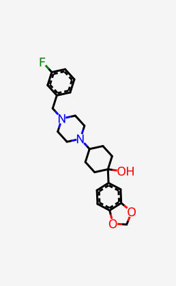 OC1(c2ccc3c(c2)OCO3)CCC(N2CCN(Cc3cccc(F)c3)CC2)CC1